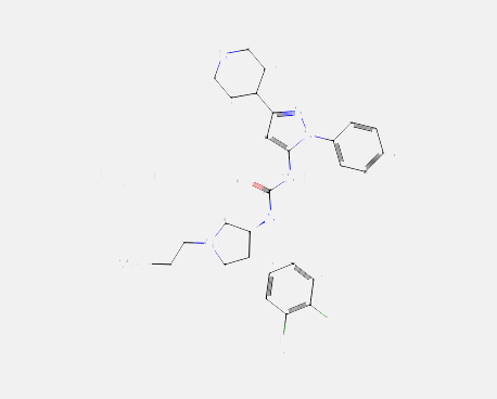 COCCN1C[C@@H](NC(=O)Nc2cc(C3CCNCC3)nn2-c2ccccc2)[C@H](c2ccc(F)c(F)c2)C1.Cl.Cl